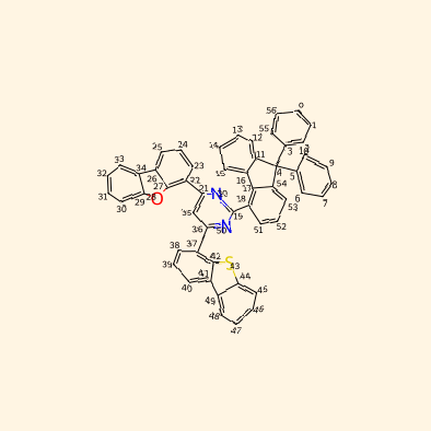 c1ccc(C2(c3ccccc3)c3ccccc3-c3c(-c4nc(-c5cccc6c5oc5ccccc56)cc(-c5cccc6c5sc5ccccc56)n4)cccc32)cc1